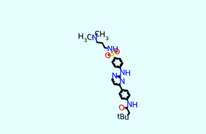 CN(C)CCCNS(=O)(=O)c1ccc(Nc2nccc(-c3ccc(NC(=O)CC(C)(C)C)cc3)n2)cc1